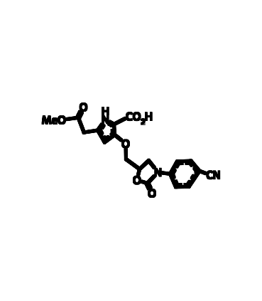 COC(=O)Cc1cc(OCC2CN(c3ccc(C#N)cc3)C(=O)O2)c(C(=O)O)[nH]1